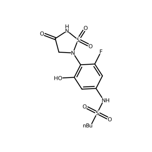 CCCCS(=O)(=O)Nc1cc(O)c(N2CC(=O)NS2(=O)=O)c(F)c1